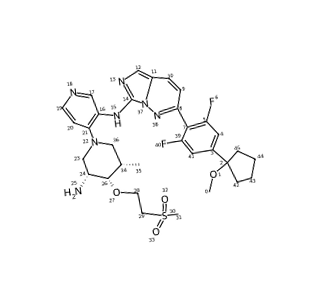 COC1(c2cc(F)c(-c3ccc4cnc(Nc5cnccc5N5C[C@@H](N)[C@@H](OCCS(C)(=O)=O)[C@@H](C)C5)n4n3)c(F)c2)CCCC1